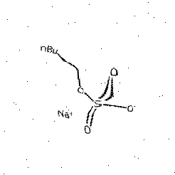 CCCCCOS(=O)(=O)[O-].[Na+]